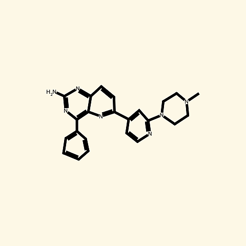 CN1CCN(c2cc(-c3ccc4nc(N)nc(-c5ccccc5)c4n3)ccn2)CC1